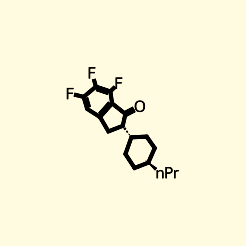 CCC[C@H]1CC[C@H](C2Cc3cc(F)c(F)c(F)c3C2=O)CC1